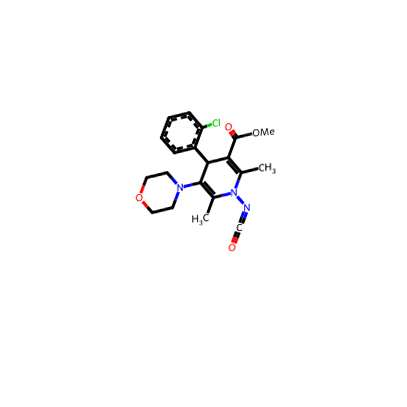 COC(=O)C1=C(C)N(N=C=O)C(C)=C(N2CCOCC2)C1c1ccccc1Cl